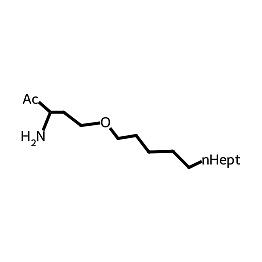 CCCCCCCCCCCCOCCC(N)C(C)=O